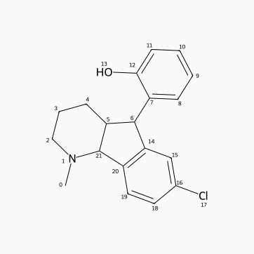 CN1CCCC2C(c3ccccc3O)c3cc(Cl)ccc3C21